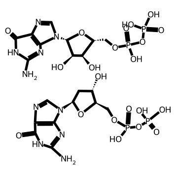 Nc1nc2c(ncn2[C@@H]2O[C@H](COP(=O)(O)OP(=O)(O)O)[C@@H](O)[C@H]2O)c(=O)[nH]1.Nc1nc2c(ncn2[C@H]2C[C@H](O)[C@@H](COP(=O)(O)OP(=O)(O)O)O2)c(=O)[nH]1